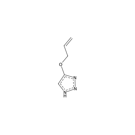 C=CCOc1c[nH]nn1